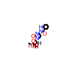 CC[C@]12O[C@@H](n3ccc(NC(=O)c4ccccc4)nc3=O)[C@H](O[C@@H]1C)[C@@H]2O